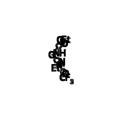 CCn1c(C[C@H]2CC[C@H](C(F)(F)F)OC2)nc2cc(C(=O)NCc3ccc(S(=O)(=O)CC)cc3)ccc21